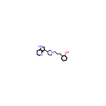 COc1ccccc1CCCN1CCC(c2c[nH]c3cccnc23)C1